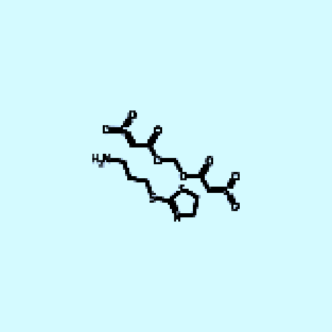 NCCCSC1=NCCS1.O=C(C=S(=O)=O)OCOC(=O)C=S(=O)=O